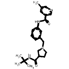 Cc1cncc(C(=O)Nc2cccc(CN3CCC(C(=O)NC(C)(C)C)C3)c2)c1